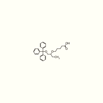 CCC(COC(c1ccccc1)(c1ccccc1)c1ccccc1)OCCCCC(=O)O